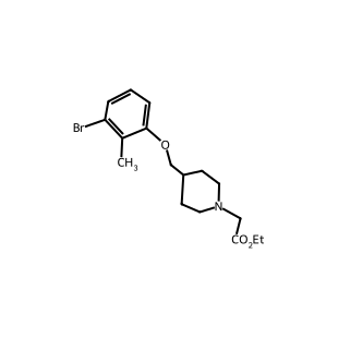 CCOC(=O)CN1CCC(COc2cccc(Br)c2C)CC1